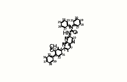 COc1cc(-c2ccc3ncc(NC(=O)N(c4ccccc4)c4ccccc4)nc3n2)ccc1-c1ccccc1